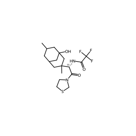 CC1CC2CC(O)(C1)CC(C)([C@H](NC(=O)C(F)(F)F)C(=O)N1CCSC1)C2